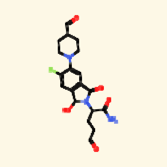 NC(=O)C(CCC=O)N1C(=O)c2cc(N3CCC(C=O)CC3)c(F)cc2C1O